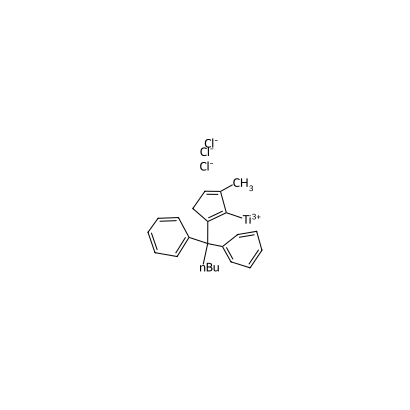 CCCCC(C1=[C]([Ti+3])C(C)=CC1)(c1ccccc1)c1ccccc1.[Cl-].[Cl-].[Cl-]